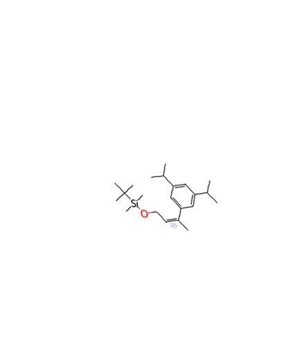 C/C(=C/CO[Si](C)(C)C(C)(C)C)c1cc(C(C)C)cc(C(C)C)c1